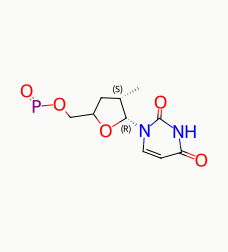 C[C@H]1CC(COP=O)O[C@H]1n1ccc(=O)[nH]c1=O